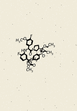 CCOC(=O)[C@@H]1CCN(C(=O)[C@@H](Nc2cc(C(N)=O)ccc2F)c2ccc(F)c(OC)c2)[C@H]1c1cc(NC(=O)OC)ccc1S(=O)(=O)CC